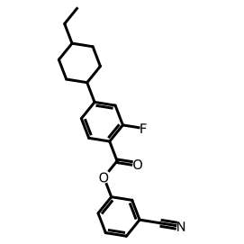 CCC1CCC(c2ccc(C(=O)Oc3cccc(C#N)c3)c(F)c2)CC1